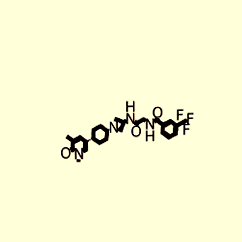 Cc1cc([C@H]2CC[C@@H](N3CC(NC(=O)CNC(=O)c4cccc(C(F)(F)F)c4)C3)CC2)cn(C)c1=O